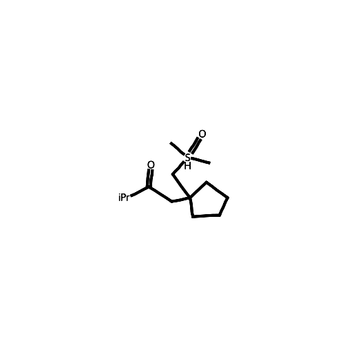 CC(C)C(=O)CC1(C[SH](C)(C)=O)CCCC1